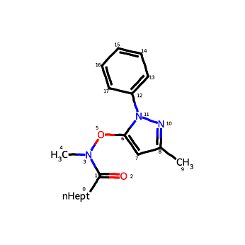 CCCCCCCC(=O)N(C)Oc1cc(C)nn1-c1ccccc1